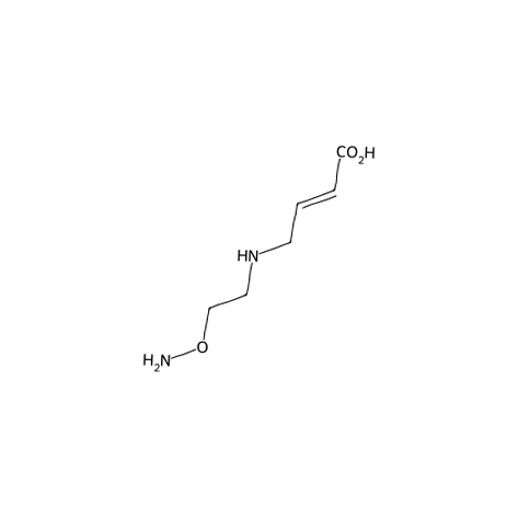 NOCCNCC=CC(=O)O